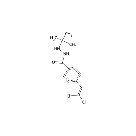 CC(C)(C)NNC(=O)c1ccc(C=C(Cl)Cl)cc1